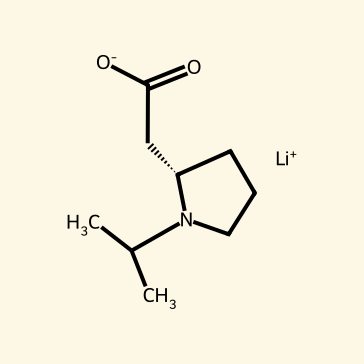 CC(C)N1CCC[C@H]1CC(=O)[O-].[Li+]